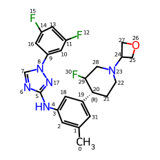 Cc1cc(Nc2ncn(-c3cc(F)cc(F)c3)n2)cc([C@H]2CCN(C3COC3)CC2F)c1